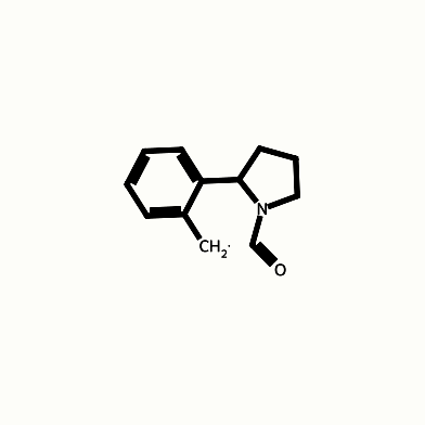 [CH2]c1ccccc1C1CCCN1C=O